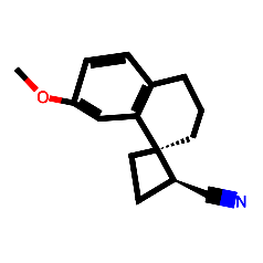 COc1ccc2c(c1)[C@]1(CCC2)CC[C@@H]1C#N